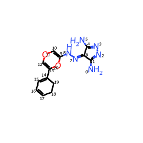 NC1=NN=C(N)C1=NNC1=COC=C(C2=CC=CCC2)O1